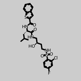 CC(C)C[C@H](NC(=O)c1cc2ccccc2s1)C(=O)NC[C@H](O)CCNS(=O)(=O)c1ccc(F)cc1Cl